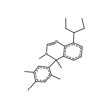 CCC(CC)c1cccc2c1N=CN(C)C2(C)c1cc(C)c(F)cc1C